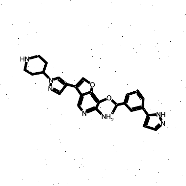 CC(Oc1c(N)ncc2c(-c3cnn(C4CCNCC4)c3)coc12)c1cccc(-c2ccn[nH]2)c1